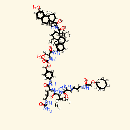 CC(C)[C@H](NC(=O)[C@H](N)CCCCNC(=O)COC1/C=C\CCCCC1)C(=O)N[C@@H](CCCNC(N)=O)C(=O)Nc1ccc(COC(=O)N[C@@H](CO)C(=O)Nc2ccc3c(c2)[C@@]2(C)CCC[C@](C)(C(=O)NC(=O)[C@@]4(C)CCC[C@]5(C)c6cc(O)ccc6CC[C@@H]45)[C@@H]2CC3)cc1